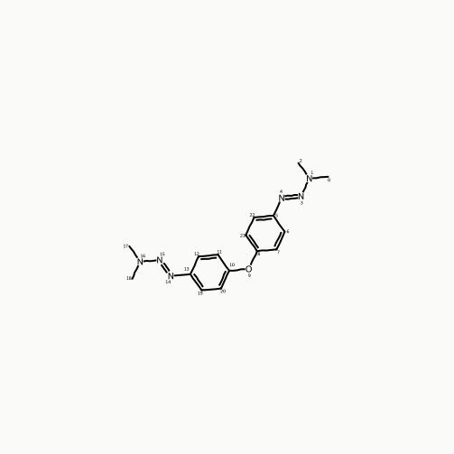 CN(C)N=Nc1ccc(Oc2ccc(N=NN(C)C)cc2)cc1